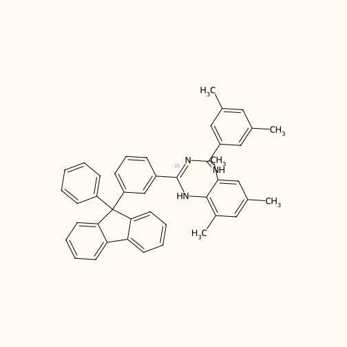 Cc1cc(C)cc(C(=N)/N=C(\Nc2c(C)cc(C)cc2C)c2cccc(C3(c4ccccc4)c4ccccc4-c4ccccc43)c2)c1